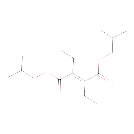 CCC(C(=O)OCC(C)C)=C(CC)C(=O)OCC(C)C